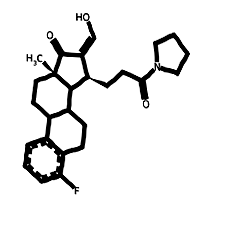 C[C@]12CCC3c4cccc(F)c4CCC3C1[C@H](CCC(=O)N1CCCC1)/C(=C/O)C2=O